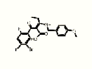 CCC(NCc1ccc(OC)cc1)=C(C(=O)O)C(=O)c1cc(Br)c(F)cc1F